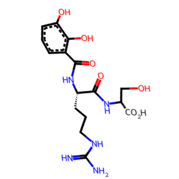 N=C(N)NCCC[C@H](NC(=O)c1cccc(O)c1O)C(=O)NC(CO)C(=O)O